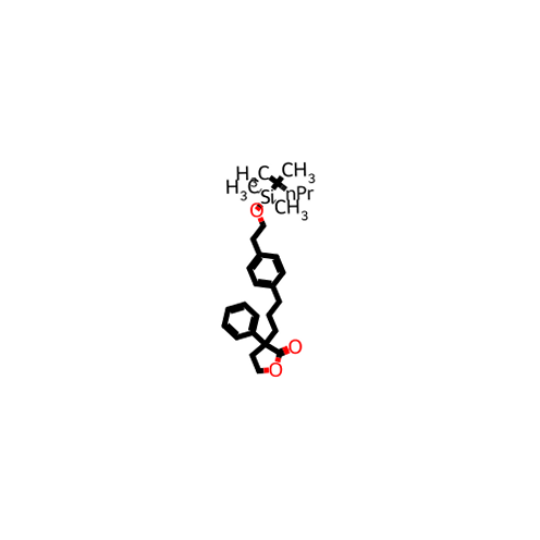 CCCC(C)(C)[Si](C)(C)OCCc1ccc(CCCC2(c3ccccc3)CCOC2=O)cc1